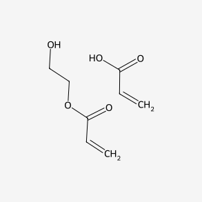 C=CC(=O)O.C=CC(=O)OCCO